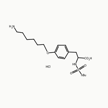 CCCCS(=O)(=O)NC(Cc1ccc(OCCCCCCN)cc1)C(=O)O.Cl